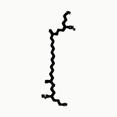 CC(C)CCCC(C)CCOC(=O)CCCCCCCCCCCCC(=O)OCCC(C)CCCC(C)C